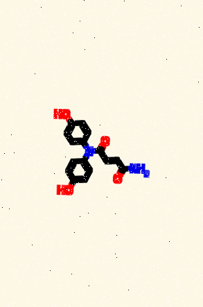 NC(=O)/C=C/C(=O)N(c1ccc(O)cc1)c1ccc(O)cc1